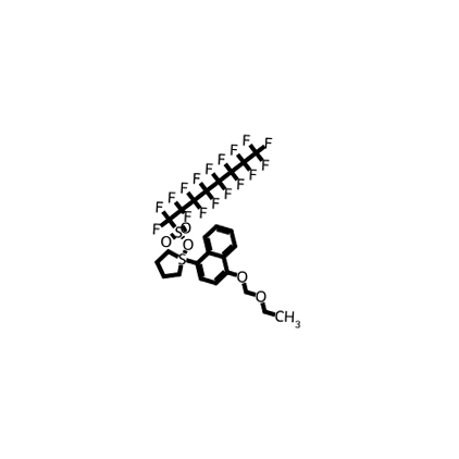 CCOCOc1ccc(S2(OS(=O)(=O)C(F)(F)C(F)(F)C(F)(F)C(F)(F)C(F)(F)C(F)(F)C(F)(F)C(F)(F)F)CCCC2)c2ccccc12